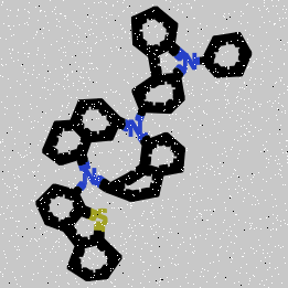 c1ccc(-n2c3ccccc3c3cc(-n4c5ccc6cccc(c6c5)n(-c5cccc6c5sc5ccccc56)c5ccc6cccc4c6c5)ccc32)cc1